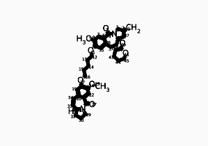 C=C1CN2C(=O)c3cc(C)c(OCCCCCOc4cc5c(cc4OC)C(=O)N4CCC[C@H]4C=C5)cc3CC[C@]2(OC2CCCCO2)C1